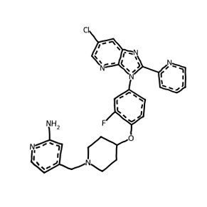 Nc1cc(CN2CCC(Oc3ccc(-n4c(-c5ccccn5)nc5cc(Cl)cnc54)cc3F)CC2)ccn1